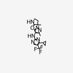 Cc1nn(C2(C)CCNC2=O)cc1Nc1ncc(C(F)(F)F)c(C2CC2)n1